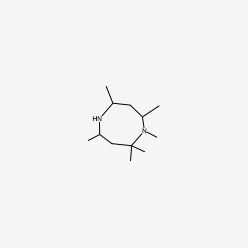 CC1CC(C)N(C)C(C)(C)CC(C)N1